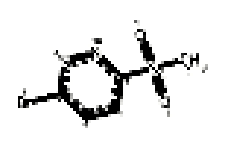 CS(=O)(=O)c1ccc(Br)nn1